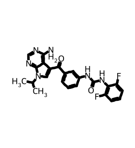 CC(C)n1cc(C(=O)c2cccc(NC(=O)Nc3c(F)cccc3F)c2)c2c(N)ncnc21